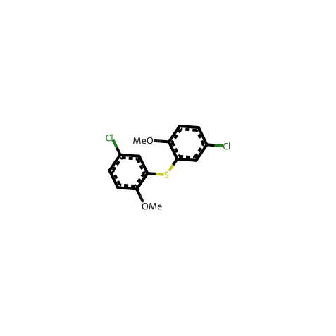 COc1ccc(Cl)cc1Sc1cc(Cl)ccc1OC